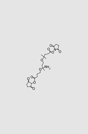 CC(C)(CCC(=O)ON1C(=O)CCC1=O)OCCC(C)(N)OCCCC(=O)OC1C(=O)CCC1=O